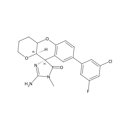 CN1C(=O)[C@]2(N=C1N)c1cc(-c3cc(F)cc(Cl)c3)ccc1OC1CCCO[C@@H]12